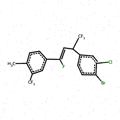 Cc1ccc(/C(F)=C/C(c2ccc(Br)c(Cl)c2)C(F)(F)F)cc1C(F)(F)F